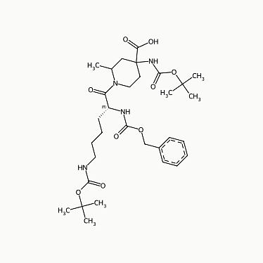 CC1CC(NC(=O)OC(C)(C)C)(C(=O)O)CCN1C(=O)[C@@H](CCCCNC(=O)OC(C)(C)C)NC(=O)OCc1ccccc1